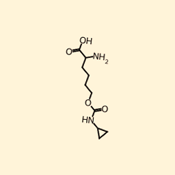 NC(CCCCOC(=O)NC1CC1)C(=O)O